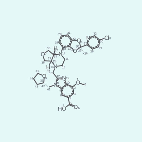 COc1cc(C(=O)O)cc2c1nc(CN1CCN(c3cccc4c3O[C@](C)(c3ccc(Cl)cn3)O4)[C@H]3COC[C@H]31)n2C[C@@H]1CCCO1